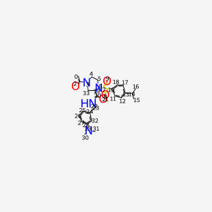 CC(=O)N1CCN(S(=O)(=O)c2ccc(C(C)C)cc2)C(C(=O)NCc2cccc(N(C)C)c2)C1